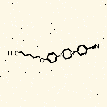 CCCCCCOc1ccc(N2CCN(c3ccc(C#N)cc3)CC2)cc1